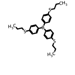 CCCSc1ccc(B(c2ccc(SCCC)cc2)c2ccc(SCCC)cc2)cc1